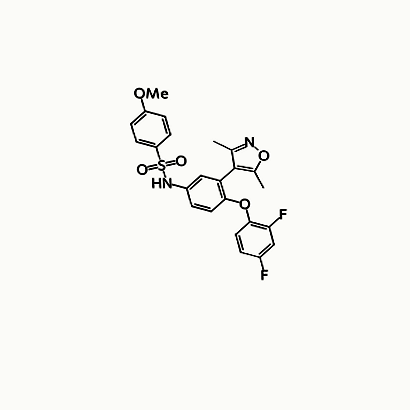 COc1ccc(S(=O)(=O)Nc2ccc(Oc3ccc(F)cc3F)c(-c3c(C)noc3C)c2)cc1